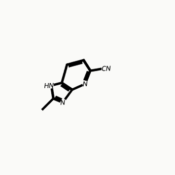 Cc1nc2nc(C#N)ccc2[nH]1